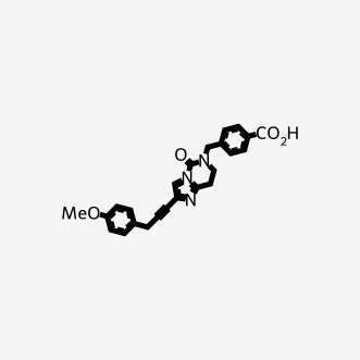 COc1ccc(CC#Cc2cn3c(n2)CCN(Cc2ccc(C(=O)O)cc2)C3=O)cc1